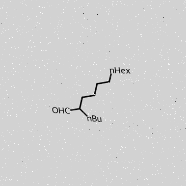 CCCCCCCCCCC(C=O)CCCC